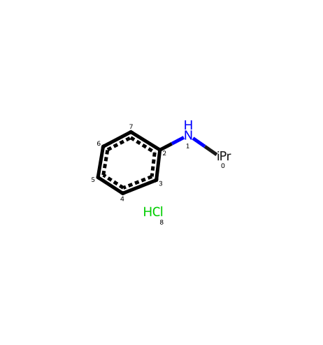 CC(C)Nc1ccccc1.Cl